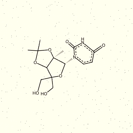 CC1(C)OC2C(CO)(CO)O[C@@H](n3ccc(=O)[nH]c3=O)[C@]2(C)O1